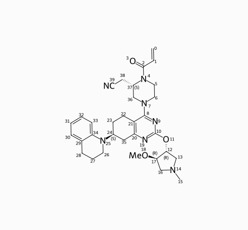 C=CC(=O)N1CCN(c2nc(O[C@@H]3CN(C)C[C@H]3OC)nc3c2CC[C@H](N2CCCc4ccccc42)C3)C[C@@H]1CC#N